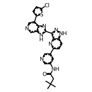 CC(C)(C)CC(=O)Nc1cncc(-c2ccc3[nH]nc(-c4nc5c(-c6ccc(Cl)s6)cncc5[nH]4)c3n2)c1